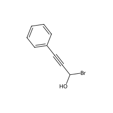 OC(Br)C#Cc1ccccc1